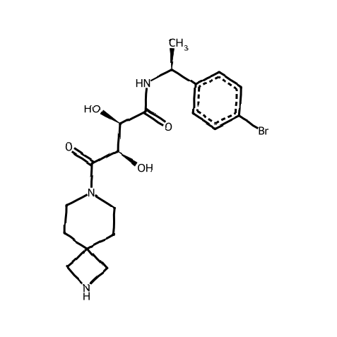 C[C@H](NC(=O)[C@H](O)[C@@H](O)C(=O)N1CCC2(CC1)CNC2)c1ccc(Br)cc1